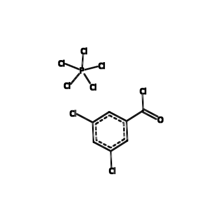 ClP(Cl)(Cl)(Cl)Cl.O=C(Cl)c1cc(Cl)cc(Cl)c1